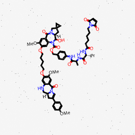 COc1ccc(C2=CN3C(=O)c4cc(OC)c(OCCCCCOc5cc6c(cc5OC)C(=O)N5CC7(CC7)C[C@H]5C(O)N6C(=O)OCc5ccc(NC(=O)C(C)NC(=O)[C@H](NC(=O)CCCCCN6C(=O)C=CC6=O)C(C)C)cc5)cc4NC[C@@H]3C2)cc1